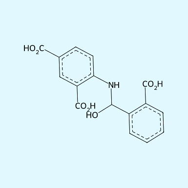 O=C(O)c1ccc(NC(O)c2ccccc2C(=O)O)c(C(=O)O)c1